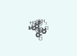 Cc1c(Cl)cccc1N(c1cccc(Cl)c1C)S(=O)(=O)c1cc(S(N)(=O)=O)c(O)c2nc(N(C)C)ccc12